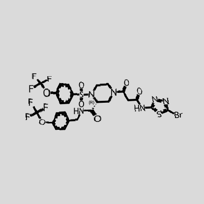 O=C(CC(=O)N1CCN(S(=O)(=O)c2ccc(OC(F)(F)F)cc2)[C@@H](C(=O)NCc2ccc(OC(F)(F)F)cc2)C1)Nc1nnc(Br)s1